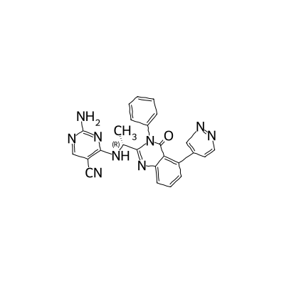 C[C@@H](Nc1nc(N)ncc1C#N)c1nc2cccc(-c3ccnnc3)c2c(=O)n1-c1ccccc1